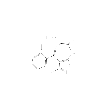 Cc1nn(C)c2c1C(c1ccccc1F)=NCC(=O)N2C.O